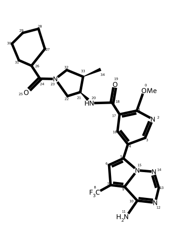 COc1ncc(-c2cc(C(F)(F)F)c3c(N)ncnn23)cc1C(=O)N[C@H]1CN(C(=O)C2CCCCC2)C[C@H]1C